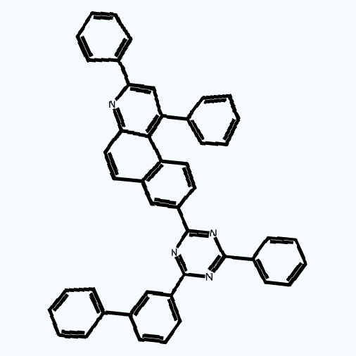 c1ccc(-c2cccc(-c3nc(-c4ccccc4)nc(-c4ccc5c(ccc6nc(-c7ccccc7)cc(-c7ccccc7)c65)c4)n3)c2)cc1